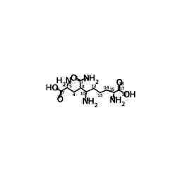 NC(=O)C(C[C@H](N)C(=O)O)C(N)CCC[C@H](N)C(=O)O